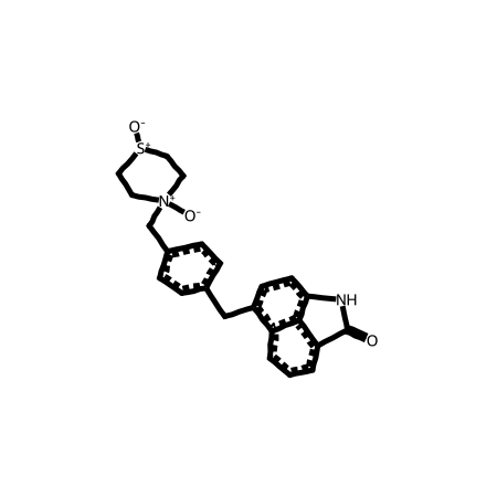 O=C1Nc2ccc(Cc3ccc(C[N+]4([O-])CC[S+]([O-])CC4)cc3)c3cccc1c23